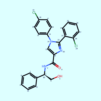 O=C(N[C@@H](CO)c1ccccc1)c1cn(-c2ccc(Cl)cc2)c(-c2ccccc2Cl)n1